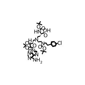 CC(C)(C)OC(=O)N[C@@H](CCN(CCN(CCc1ccc(Cl)cc1)C(=O)OC(C)(C)C)C[C@H]1O[C@@H](n2cnc3c(N)ncnc32)[C@@H]2OC(C)(C)O[C@@H]21)C(=O)O